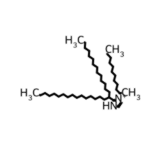 CCCCCCCCCCCCCCCCC(CCCCCCCCCCCCCC)c1[nH]cc[n+]1C(C)CCCCCCCCCC